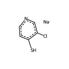 Sc1ccncc1Cl.[Na]